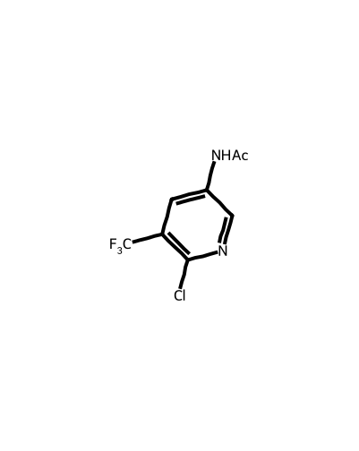 CC(=O)Nc1cnc(Cl)c(C(F)(F)F)c1